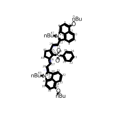 CCCCOc1ccc2c3c(cccc13)C(/C=C/C1=C(S(=O)(=O)c3ccccc3)C(=C/C=c3\c4cccc5c(OCCCC)ccc(c54)n3CCCC)/CC1)=[N+]2CCCC